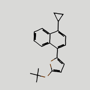 CCOC(=O)C(C)(C)Sc1ccc(-c2ccc(C3CC3)c3ccccc23)s1